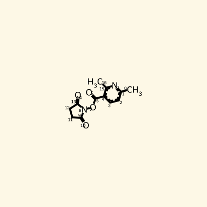 Cc1ccc(C(=O)ON2C(=O)CCC2=O)c(C)n1